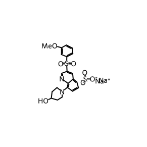 COc1cccc(S(=O)(=O)c2cnc3c(N4CCC(O)CC4)cccc3c2)c1.O=S([O-])[O-].[Na+].[Na+]